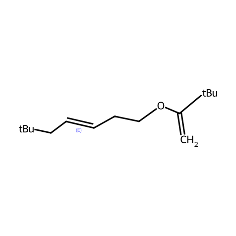 C=C(OCC/C=C/CC(C)(C)C)C(C)(C)C